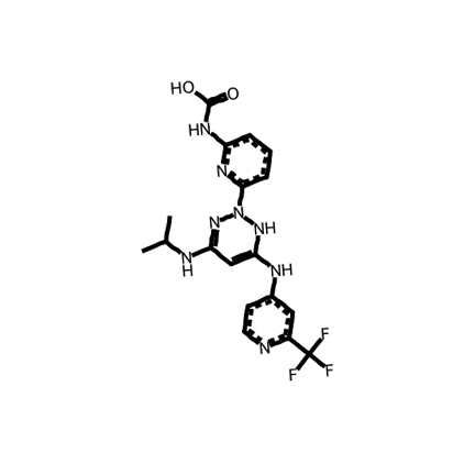 CC(C)NC1=NN(c2cccc(NC(=O)O)n2)NC(Nc2ccnc(C(F)(F)F)c2)=C1